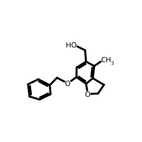 Cc1c(CO)cc(OCc2ccccc2)c2c1CCO2